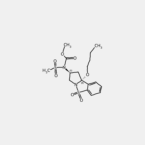 CCCCO[C@@]12C[C@H](N(C(=O)OC)S(C)(=O)=O)CN1S(=O)(=O)c1ccccc12